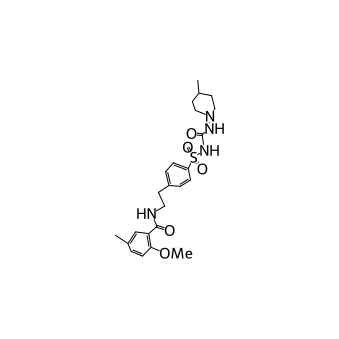 COc1ccc(C)cc1C(=O)NCCc1ccc(S(=O)(=O)NC(=O)NN2CCC(C)CC2)cc1